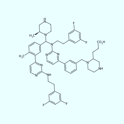 Cc1ccc(C(N(CCc2cc(F)cc(F)c2)c2nccc(-c3cccc(CN4CCNCC4CCC(=O)O)c3)n2)N2CCNC[C@@H]2C)cc1-c1ccnc(NCCc2cc(F)cc(F)c2)n1